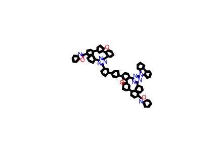 c1ccc(-c2nc(-c3cccc(-c4ccc(-c5ccc(-c6nc(-c7ccccc7)nc(-n7c8ccccc8c8ccccc87)n6)c6c5oc5ccc(-c7ccc(-c8nc9ccccc9o8)cc7)cc56)cc4)c3)nc(-c3cccc4oc5ccc(-c6ccc(-c7nc8ccccc8o7)cc6)cc5c34)n2)cc1